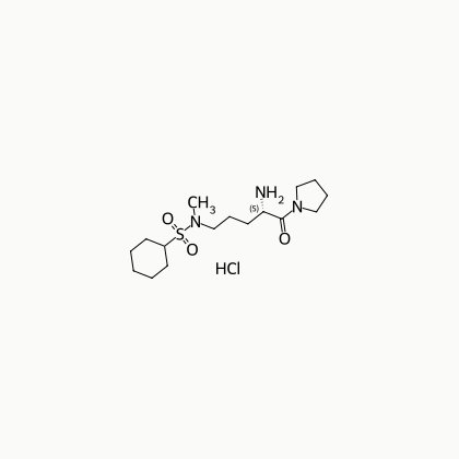 CN(CCC[C@H](N)C(=O)N1CCCC1)S(=O)(=O)C1CCCCC1.Cl